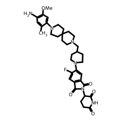 COc1cc(N2CCC3(CCN(CC4CCN(c5cc6c(cc5F)C(=O)N(C5CCC(=O)NC5=O)C6=O)CC4)CC3)CC2)c(C)cc1N